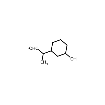 CC([C]=O)C1CCCC(O)C1